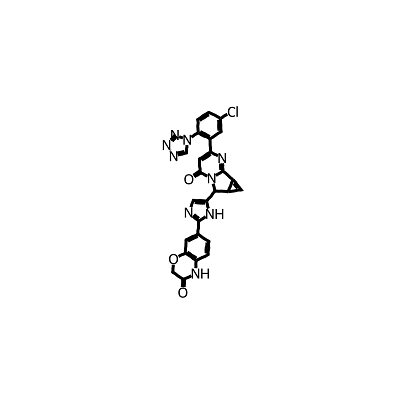 O=C1COc2cc(-c3ncc(C4C5C=C5c5nc(-c6cc(Cl)ccc6-n6cnnn6)cc(=O)n54)[nH]3)ccc2N1